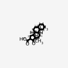 C[C@]12CCCCC1=CC[C@@H]1[C@H]2CC[C@]2(C)C(=O)C(C(=O)O)C[C@@H]12